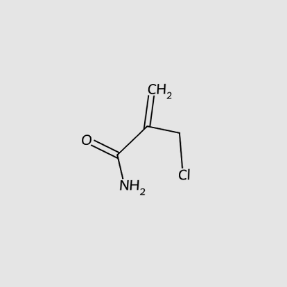 C=C(CCl)C(N)=O